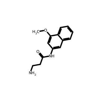 COc1cc(NC(=O)CCN)cc2ccccc12